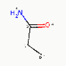 [CH]CC(N)=O